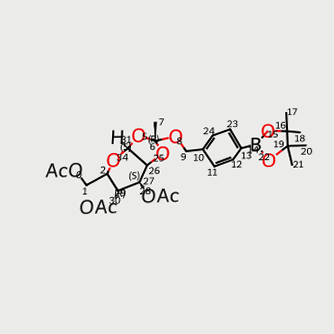 CC(=O)OCC1O[C@H]2O[C@](C)(OCc3ccc(B4OC(C)(C)C(C)(C)O4)cc3)OC2[C@@H](OC(C)=O)[C@@H]1OC(C)=O